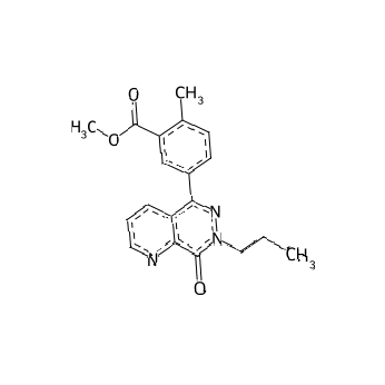 CCCn1nc(-c2ccc(C)c(C(=O)OC)c2)c2cccnc2c1=O